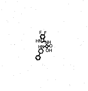 O=C1C(O)C(NC2CCC(c3ccccc3)CC2)C1Nc1c[nH]c2cc(F)c(F)cc12